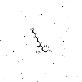 CC[C@H](C)[C@H](N)C(=O)OCCCC[C]=O